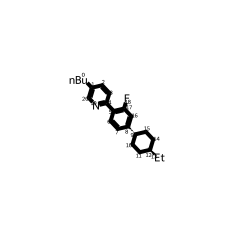 CCCCc1ccc(-c2ccc([C@H]3CC[C@H](CC)CC3)cc2F)nc1